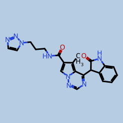 Cc1c(C(=O)NCCCn2ccnn2)cn2ncnc(C3C(=O)Nc4ccccc43)c12